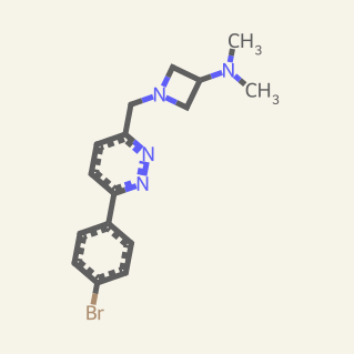 CN(C)C1CN(Cc2ccc(-c3ccc(Br)cc3)nn2)C1